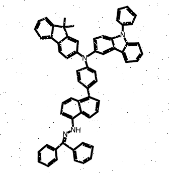 CC1(C)c2ccccc2-c2ccc(N(c3ccc(-c4cccc5c(NN=C(c6ccccc6)c6ccccc6)cccc45)cc3)c3ccc4c(c3)c3ccccc3n4-c3ccccc3)cc21